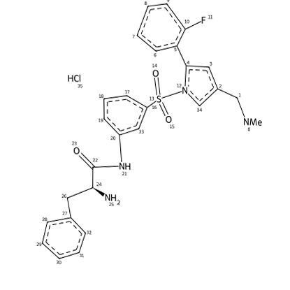 CNCc1cc(-c2ccccc2F)n(S(=O)(=O)c2cccc(NC(=O)[C@@H](N)Cc3ccccc3)c2)c1.Cl